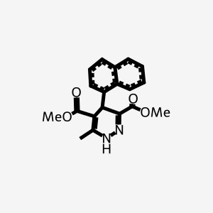 COC(=O)C1=NNC(C)=C(C(=O)OC)C1c1cccc2ccccc12